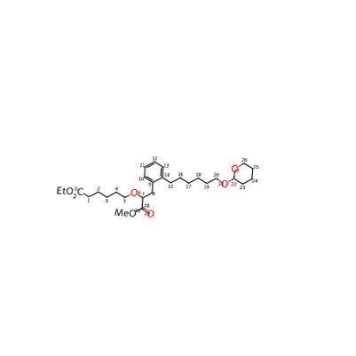 CCOC(=O)CCCCCOC(Cc1ccccc1CCCCCCOC1CCCCO1)C(=O)OC